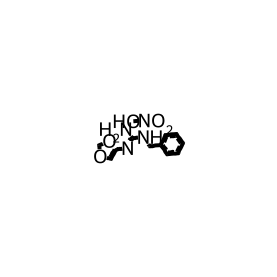 NC(=NC1=COCO1)NCc1ccccc1.O=[N+]([O-])O